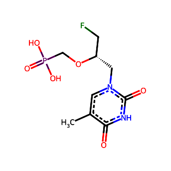 Cc1cn(C[C@@H](CF)OCP(=O)(O)O)c(=O)[nH]c1=O